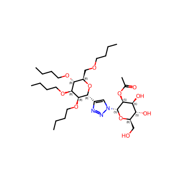 CCCCOC[C@H]1O[C@H](c2cn([C@H]3O[C@H](CO)[C@@H](O)[C@H](O)[C@@H]3OC(C)=O)nn2)[C@@H](OCCCC)[C@@H](OCCCC)[C@@H]1OCCCC